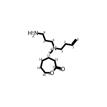 C=CCCN(C)CCCN.O=C1CCCCCO1